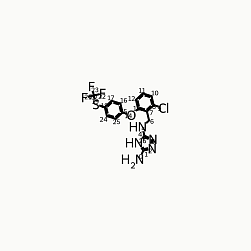 Nc1nnc(NCc2c(Cl)cccc2Oc2ccc(SC(F)(F)F)cc2)[nH]1